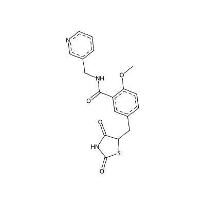 COc1ccc(CC2SC(=O)NC2=O)cc1C(=O)NCc1cccnc1